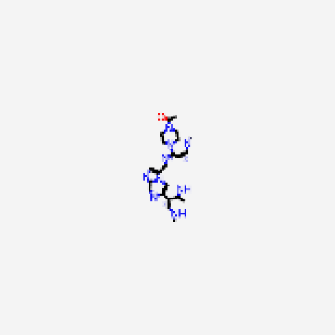 C=N/C=C\C(=N/Cc1cnc2cnc(/C(=C/NC)C(C)=N)cn12)N1CCN(C(C)=O)CC1